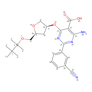 CC(C)(C)[Si](C)(C)OC[C@@H]1C[C@H](Oc2nc(-c3cccc(C#N)c3)nc(N)c2C(=O)O)CO1